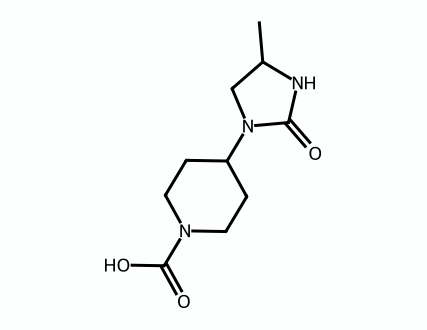 CC1CN(C2CCN(C(=O)O)CC2)C(=O)N1